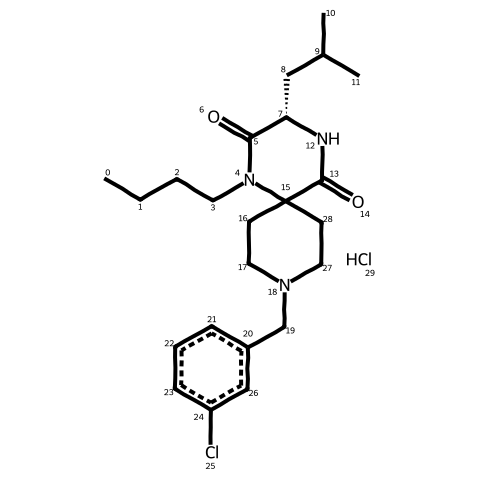 CCCCN1C(=O)[C@H](CC(C)C)NC(=O)C12CCN(Cc1cccc(Cl)c1)CC2.Cl